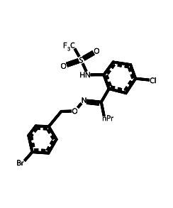 CCC/C(=N\OCc1ccc(Br)cc1)c1cc(Cl)ccc1NS(=O)(=O)C(F)(F)F